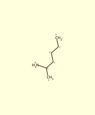 [CH2]CCCC(C)N